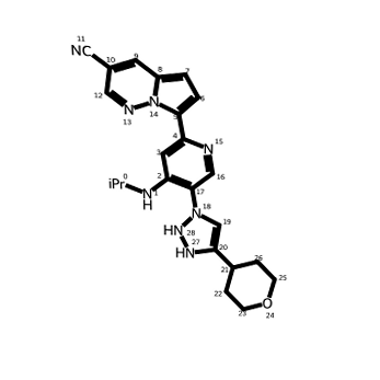 CC(C)Nc1cc(-c2ccc3cc(C#N)cnn23)ncc1N1C=C(C2CCOCC2)NN1